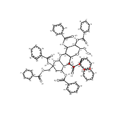 COC1OC(COC(=O)c2ccccc2)C(OC2OC(COC(=O)c3ccccc3)(OC(=O)c3ccccc3)CC(OC(=O)c3ccccc3)C2OC(=O)c2ccccc2)C(OC(=O)c2ccccc2)C1OC(=O)c1ccccc1